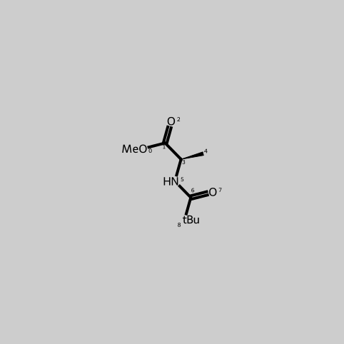 COC(=O)[C@@H](C)NC(=O)C(C)(C)C